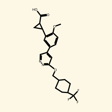 COc1ccc(-c2cnnc(OCC3CCC(C(F)(F)F)CC3)c2)cc1C1CC1C(=O)O